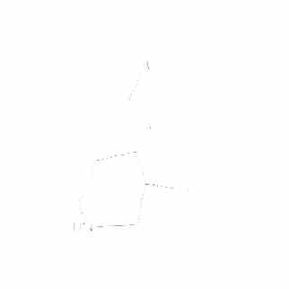 O=C(O)C1CNCCC1CCO